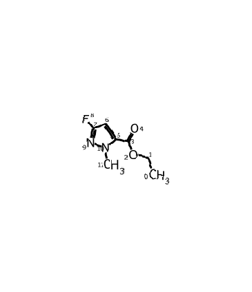 CCOC(=O)c1cc(F)nn1C